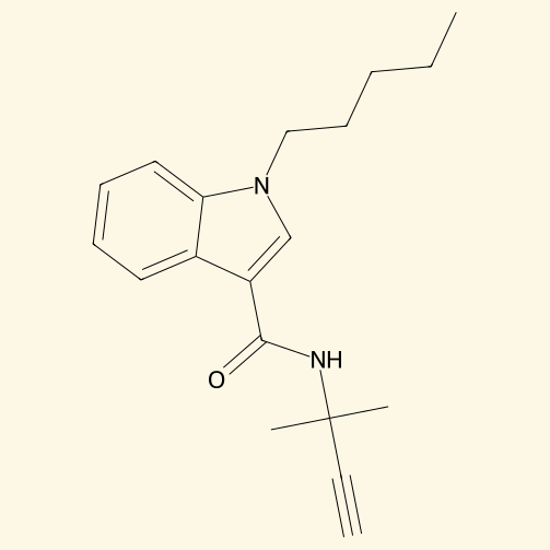 C#CC(C)(C)NC(=O)c1cn(CCCCC)c2ccccc12